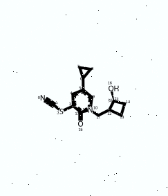 N#CSc1cc(C2CC2)cn(CC2CC[C@@H]2O)c1=O